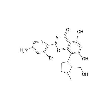 CN1CCC(c2c(O)cc(O)c3c(=O)cc(-c4ccc(N)cc4Br)oc23)C1CO